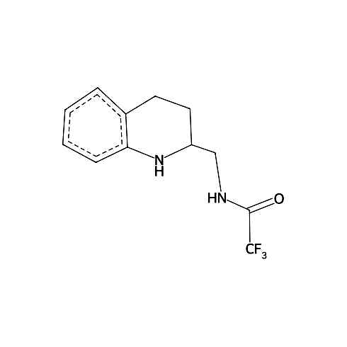 O=C(NCC1CCc2ccccc2N1)C(F)(F)F